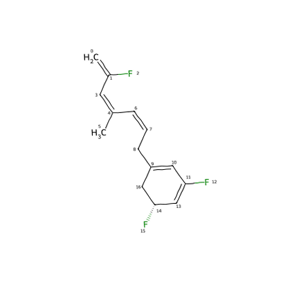 C=C(F)/C=C(C)\C=C/CC1=CC(F)=C[C@H](F)C1